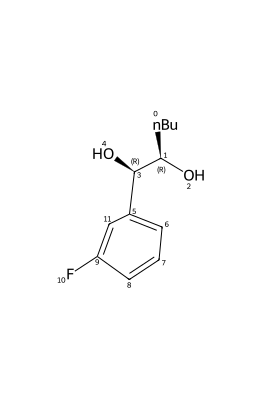 CCCC[C@@H](O)[C@H](O)c1cccc(F)c1